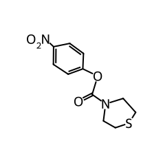 O=C(Oc1ccc([N+](=O)[O-])cc1)N1CCSCC1